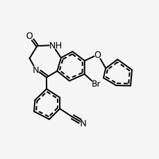 N#Cc1cccc(C2=NCC(=O)Nc3cc(Oc4ccccc4)c(Br)cc32)c1